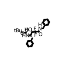 CC(C)(C)OC(=O)N[C@@H](Cc1ccccc1)[C@@H](O)C(F)(F)C(=O)NCc1ccccc1